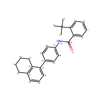 CC(C)(C)c1ccccc1C(=O)Nc1ccc(-c2cccc3c2CCCC3)cc1